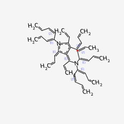 C=C/C=C\C(=C/C=C)N(C(/C=C\C)=C/C=C)/C(C=C)=c1\c(/C=C\C=C)c(C=C)n(C(/C=C\C=C)=C/C=C)\c1=C\C=C